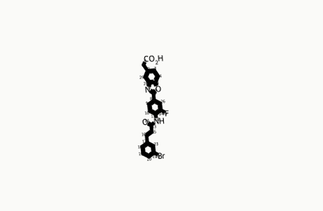 O=C(O)Cc1ccc2oc(-c3ccc(NC(=O)C=Cc4cccc(Br)c4)c(F)c3)nc2c1